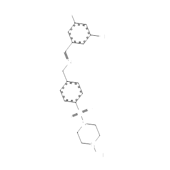 CN1CCN(S(=O)(=O)c2ccc(C/N=C/c3cc(C(F)(F)F)cc(C(F)(F)F)c3)cc2)CC1